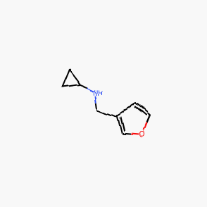 c1cc(CNC2CC2)co1